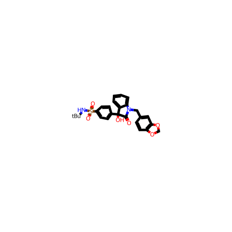 CC(C)(C)NS(=O)(=O)c1ccc(C2(O)C(=O)N(Cc3ccc4c(c3)OCO4)c3ccccc32)cc1